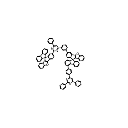 c1ccc(-c2cc(-c3ccc(-c4cccc5c4-c4ccccc4C54c5ccc(-c6cccc(-c7cc(-c8ccccc8)nc(-c8ccc9c(c8)C8(c%10ccccc%10-c%10ccccc%108)c8c-9oc9ccccc89)n7)c6)cc5-c5oc6ccccc6c54)cc3)nc(-c3ccccc3)n2)cc1